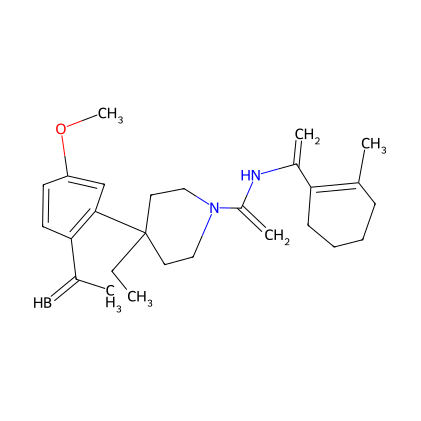 B=C(C)c1ccc(OC)cc1C1(CC)CCN(C(=C)NC(=C)C2=C(C)CCCC2)CC1